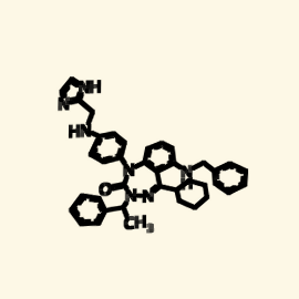 CC(c1ccccc1)N1N=C(C2CCCCC2)c2c(NCc3ccccc3)cccc2N(c2ccc(NCc3ncc[nH]3)cc2)C1=O